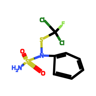 NS(=O)(=O)N(SC(F)(Cl)Cl)c1ccccc1